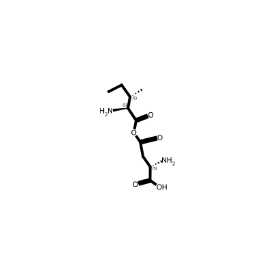 CC[C@H](C)[C@H](N)C(=O)OC(=O)C[C@H](N)C(=O)O